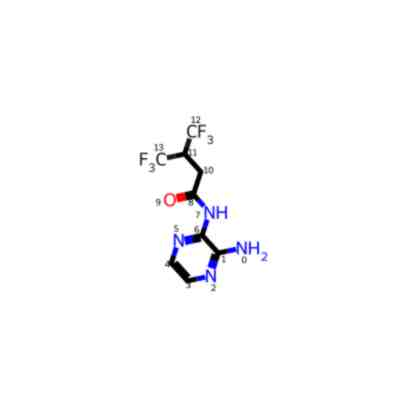 Nc1nccnc1NC(=O)CC(C(F)(F)F)C(F)(F)F